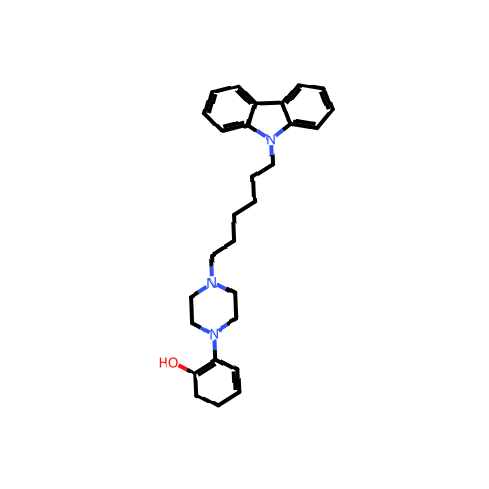 OC1=C(N2CCN(CCCCCCn3c4ccccc4c4ccccc43)CC2)C=CCC1